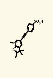 CC1=Nc2c(cc(C#Cc3ccc(S(=O)(=O)O)cc3)c[n+]2C)C1(C)C